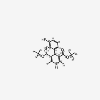 CC1=C(C(=O)OC(C)(C)C)C(c2cccc(F)c2F)C(C(=O)OC(C)(C)C)=C(C)N1